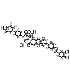 C=C/C=C(\C(C)=C(\C)N)c1ccc(C[C@H](NC(=O)[C@@H]2Cc3cc4c(cc3CN2C=O)OC(c2ccc(OCc3ccc(Cl)c(Cl)c3)cc2)CO4)C(=O)O)cc1